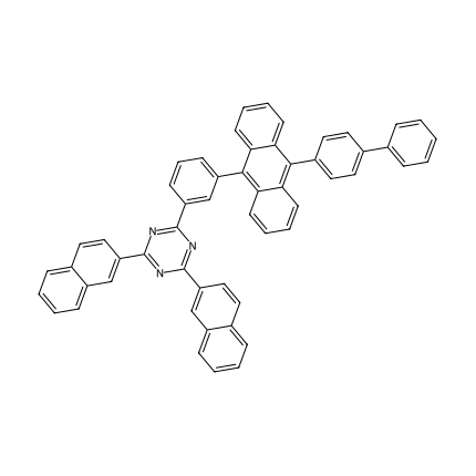 c1ccc(-c2ccc(-c3c4ccccc4c(-c4cccc(-c5nc(-c6ccc7ccccc7c6)nc(-c6ccc7ccccc7c6)n5)c4)c4ccccc34)cc2)cc1